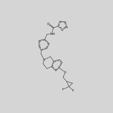 O=C(NCc1ccc(CN2CCc3cc(OCC4CC4(F)F)ccc3C2)cc1)c1ccno1